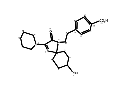 CC(C)(C)C1CCC2(CC1)N=C(N1CCCCC1)C(=O)N2CCc1ccc(C(=O)O)cc1